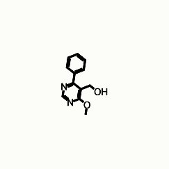 COc1ncnc(-c2ccccc2)c1CO